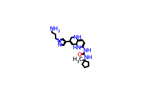 CC1(NC(=O)NC2=CC=C3NCC(c4cnn(CCCN)c4)=CC3N2)CCCC1